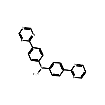 NN(c1ccc(-c2ncccn2)cc1)c1ccc(-c2ncncn2)cc1